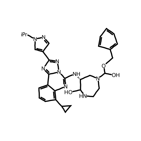 CC(C)n1cc(-c2nc3c4cccc(C5CC5)c4nc(N[C@@H]4CN(C(O)OCc5ccccc5)CCNC4O)n3n2)cn1